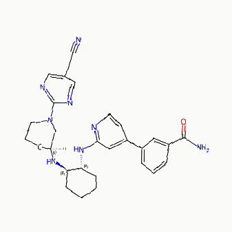 C[C@]1(N[C@@H]2CCCC[C@H]2Nc2cc(-c3cccc(C(N)=O)c3)ccn2)CCCN(c2ncc(C#N)cn2)C1